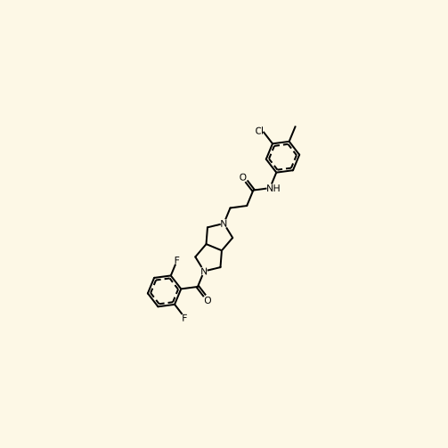 Cc1ccc(NC(=O)CCN2CC3CN(C(=O)c4c(F)cccc4F)CC3C2)cc1Cl